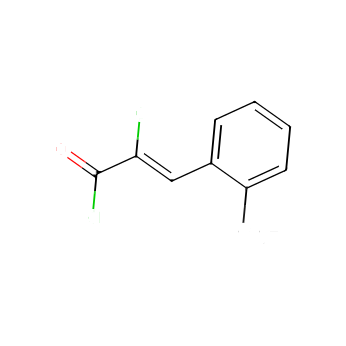 O=C(Cl)C(Cl)=Cc1ccccc1C(=O)O